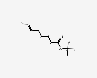 C/N=C/CCCCC(=O)OC(C)(C)C